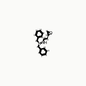 c1ccc(CN(Cc2ccccc2)NCC[C@H]2CO2)cc1